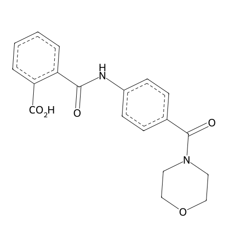 O=C(O)c1ccccc1C(=O)Nc1ccc(C(=O)N2CCOCC2)cc1